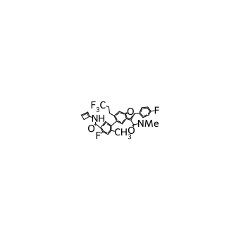 CNC(=O)c1c(-c2ccc(F)cc2)oc2cc(CCC(F)(F)F)c(-c3cc(C(=O)NC4=C=CC4)c(F)cc3C)cc12